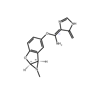 C=c1[nH]cn/c1=C(/N)Oc1ccc2c(c1)[C@@H]1[C@H](O2)N1C